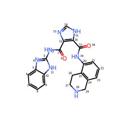 O=C(Nc1nc2ccccc2[nH]1)c1nc[nH]c1C(=O)Nc1cccc2c1CCNC2